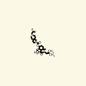 COC1C(OC(=O)N2CCC3(CCN(CC(F)F)CC3)C2)CCC2(CO2)C1[C@@]1(C)O[C@@H]1CC=C(C)C